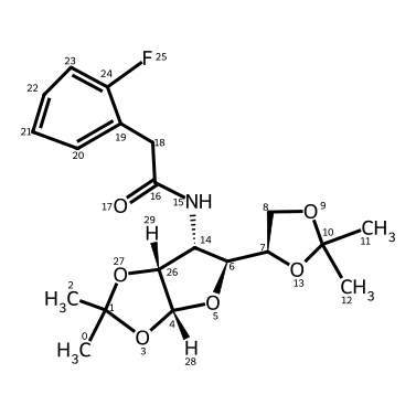 CC1(C)O[C@H]2O[C@H]([C@H]3COC(C)(C)O3)[C@@H](NC(=O)Cc3ccccc3F)[C@H]2O1